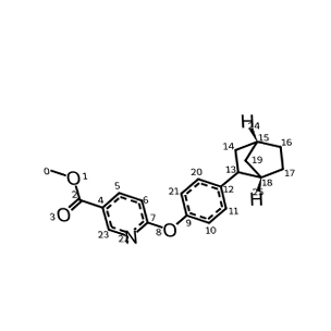 COC(=O)c1ccc(Oc2ccc(C3C[C@@H]4CC[C@H]3C4)cc2)nc1